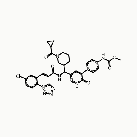 COC(=O)Nc1ccc(-c2cc(C(NC(=O)/C=C/c3cc(Cl)ccc3-n3cnnn3)C3CCCN(C(=O)C4CC4)C3)n[nH]c2=O)cc1